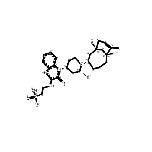 CCC[C@@H]1C[C@H](n2c(=O)c(NCCP(=O)(O)O)nc3ccccc32)CCN1[C@H]1CCC[C@@H]2C[C@@H](CC=C2C)C1